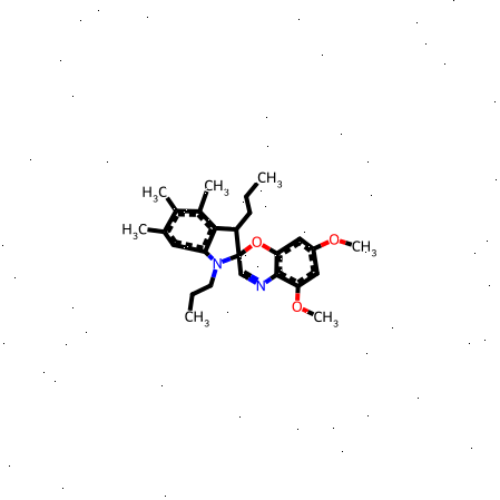 CCCC1c2c(cc(C)c(C)c2C)N(CCC)C12C=Nc1c(OC)cc(OC)cc1O2